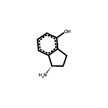 N[C@H]1CCc2c(O)cccc21